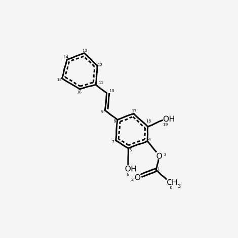 CC(=O)Oc1c(O)cc(C=Cc2ccccc2)cc1O